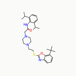 CC(C)c1cccc(C(C)C)c1NC(=O)CN1CCN(CCSc2nc3cccc(C(C)(C)C)c3o2)CC1